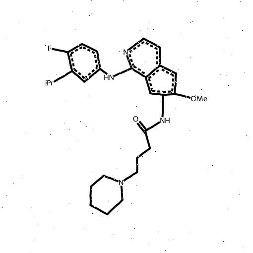 COc1cc2ccnc(Nc3ccc(F)c(C(C)C)c3)c2cc1NC(=O)CCCN1CCCCC1